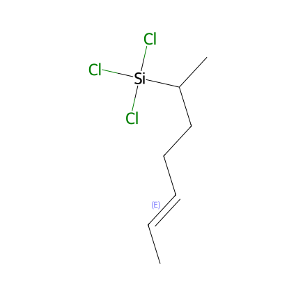 C/C=C/CCC(C)[Si](Cl)(Cl)Cl